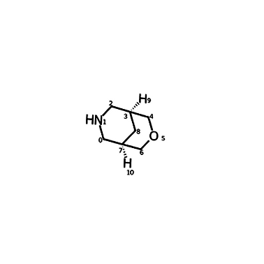 C1NC[C@H]2COC[C@@H]1C2